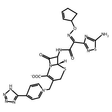 Nc1nc(C(=NOC2C=CCC2)C(=O)NC2C(=O)N3C(C(=O)[O-])=C(C[n+]4ccc(-c5nnn[nH]5)cc4)CS[C@@H]23)ns1